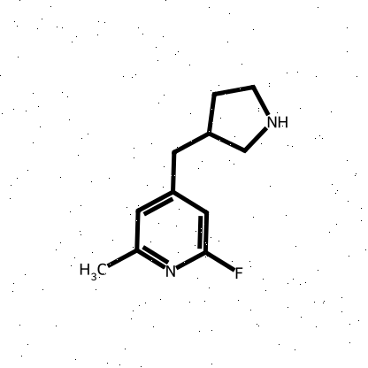 Cc1cc(CC2CCNC2)cc(F)n1